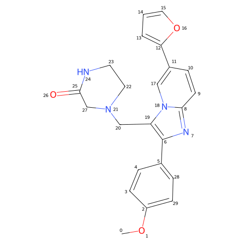 COc1ccc(-c2nc3ccc(-c4ccco4)cn3c2CN2CCNC(=O)C2)cc1